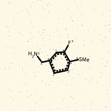 CSc1ccc(CN)cc1F